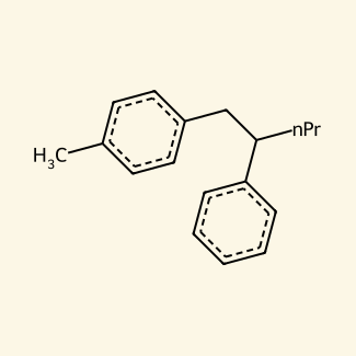 CCCC(Cc1ccc(C)cc1)c1ccccc1